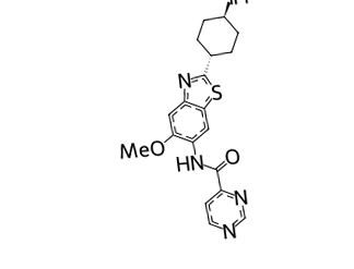 COc1cc2nc([C@H]3CC[C@H](C(C)C)CC3)sc2cc1NC(=O)c1ccncn1